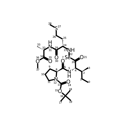 CC[C@H](C)[C@H](NC(=O)[C@@H]1CCCN1C(=O)OC(C)(C)C)C(=O)[Se]N[C@@H](CCSC)C(=O)N[C@@H](C)C(=O)OC